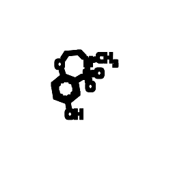 CN1CCOc2ccc(O)cc2S1(=O)=O